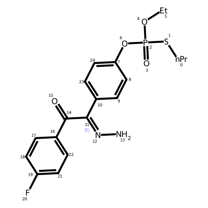 CCCSP(=O)(OCC)Oc1ccc(/C(=N\N)C(=O)c2ccc(F)cc2)cc1